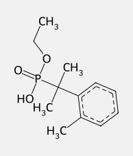 CCOP(=O)(O)C(C)(C)c1ccccc1C